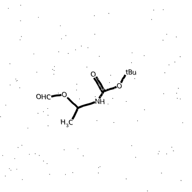 CC(NC(=O)OC(C)(C)C)OC=O